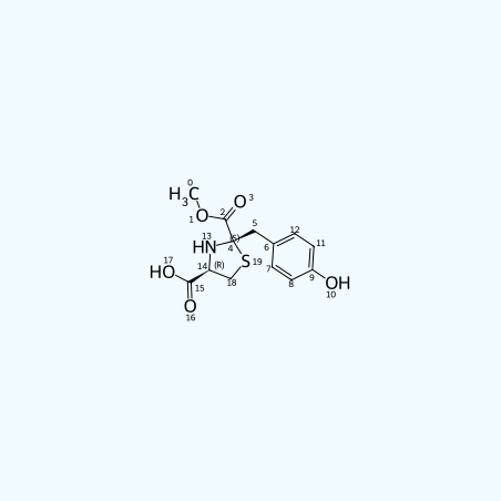 COC(=O)[C@@]1(Cc2ccc(O)cc2)N[C@H](C(=O)O)CS1